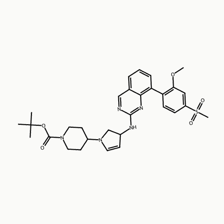 COc1cc(S(C)(=O)=O)ccc1-c1cccc2cnc(NC3C=CN(C4CCN(C(=O)OC(C)(C)C)CC4)C3)nc12